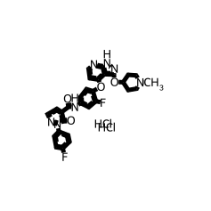 CN1CCC(Oc2n[nH]c3nccc(Oc4ccc(NC(=O)c5ccnn(-c6ccc(F)cc6)c5=O)cc4F)c23)CC1.Cl.Cl